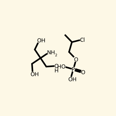 CC(Cl)COP(=O)(O)O.NC(CO)(CO)CO